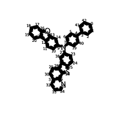 c1ccc(-c2ccc(N(c3ccc4c(c3)oc3ccccc34)c3ccc4sc5c(ccc6cccnc65)c4c3)cc2)cc1